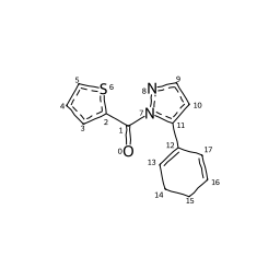 O=C(c1cccs1)n1nccc1C1=CCCC=C1